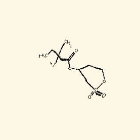 CCC(C)(C)C(=O)OC1CCOS(=O)(=O)C1